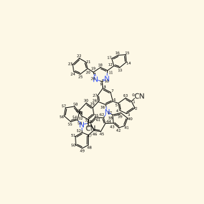 N#Cc1cccc(-c2cc(-c3nc(-c4ccccc4)cc(-c4ccccc4)n3)cc(-c3cccc(C#N)c3)c2-n2c3ccccc3c3cc4c5ccccc5n(-c5ccccc5)c4cc32)c1